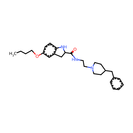 CCCCOc1ccc2c(c1)CC(C(=O)NCCN1CCC(Cc3ccccc3)CC1)N2